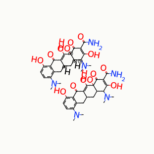 CN(C)c1ccc(O)c2c1CC1CC3C(N(C)C)C(O)=C(C(N)=O)C(=O)C3(O)C(O)=C1C2=O.CN(C)c1ccc(O)c2c1C[C@H]1C[C@H]3[C@H](N(C)C)C(O)=C(C(N)=O)C(=O)[C@@]3(O)C(O)=C1C2=O